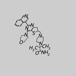 CC(C)(C(N)=O)N1CCN(CC2Cc3nc(-c4cncc5ccccc45)nc(N4CCOCC4)c3S2)CC1